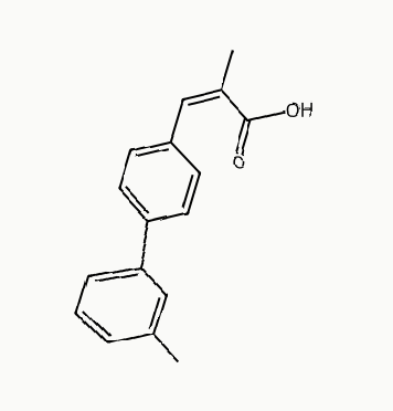 CC(=Cc1ccc(-c2cccc(C)c2)cc1)C(=O)O